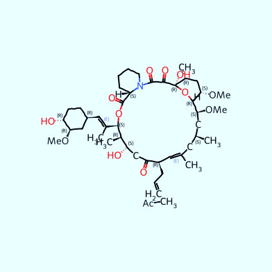 C=CC[C@@H]1/C=C(\C)C[C@H](C)C[C@H](OC)[C@H]2O[C@@](O)(C(=O)C(=O)N3CCCC[C@H]3C(=O)O[C@H](/C(C)=C/[C@@H]3CC[C@@H](O)[C@H](OC)C3)[C@H](C)[C@@H](O)CC1=O)[C@H](C)C[C@@H]2OC.CC(C)=O